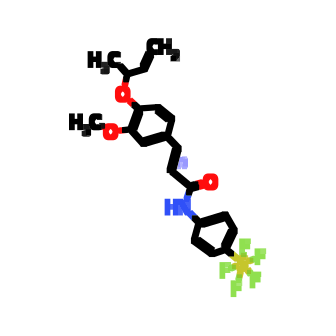 C=CC(C)Oc1ccc(/C=C/C(=O)Nc2ccc(S(F)(F)(F)(F)F)cc2)cc1OC